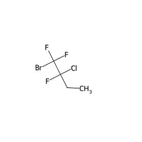 CCC(F)(Cl)C(F)(F)Br